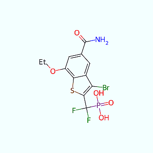 CCOc1cc(C(N)=O)cc2c(Br)c(C(F)(F)P(=O)(O)O)sc12